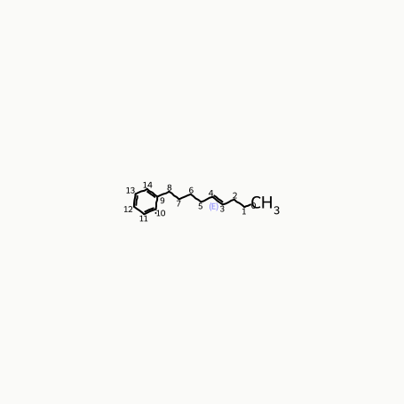 CCC/C=C/CCCCc1[c]cccc1